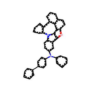 c1ccc(-c2ccc(N(c3ccccc3)c3ccc4c(c3)c3oc5ccc6cccc7c8ccccc8n4c3c5c67)cc2)cc1